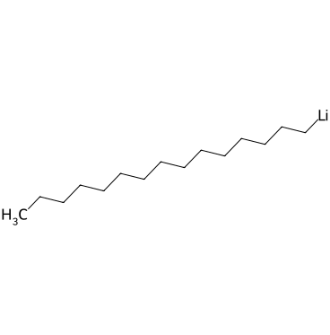 [Li][CH2]CCCCCCCCCCCCCC